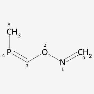 C=NO/C=P\C